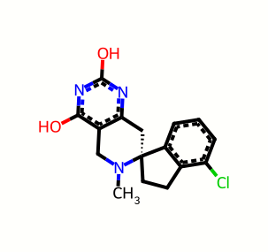 CN1Cc2c(O)nc(O)nc2C[C@]12CCc1c(Cl)cccc12